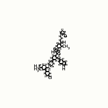 Cc1cc(S(=O)(=O)NC(=O)c2ccc(N3CCN(CC4=C(c5ccc(Cl)cc5)CC(C)(C)CC4)CC3)cc2Oc2ccc3[nH]ccc3c2)ccc1NCCCN1CCCC1=O